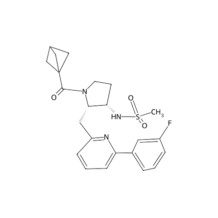 CS(=O)(=O)N[C@H]1CCN(C(=O)C23CC(C2)C3)[C@H]1Cc1cccc(-c2cccc(F)c2)n1